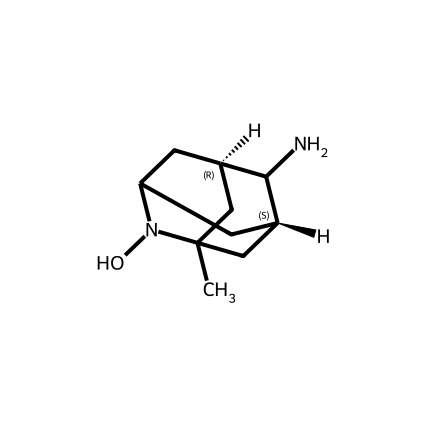 CC12C[C@H]3CC(C[C@@H](C1)C3N)N2O